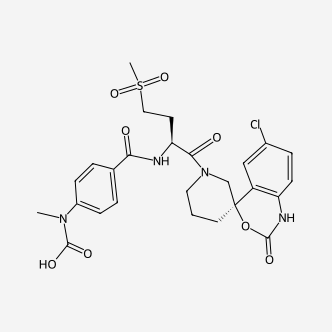 CN(C(=O)O)c1ccc(C(=O)N[C@@H](CCS(C)(=O)=O)C(=O)N2CCC[C@@]3(C2)OC(=O)Nc2ccc(Cl)cc23)cc1